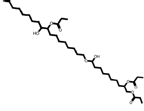 CCCCCCCCC(O)C(CCCCCCCCOC(O)CCCCCCCC(COC(=O)CC)OC(=O)CC)OC(=O)CC